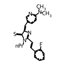 CCCN1C(=S)/C(=C/c2ccc(N(C)C)nc2)N=C1/C=C/c1ccccc1F